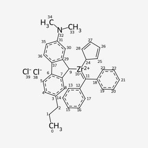 CCCc1ccc2c(c1)[CH]([Zr+2](=[C](c1ccccc1)c1ccccc1)[CH]1C=CC=C1)c1cc(N(C)C)ccc1-2.[Cl-].[Cl-]